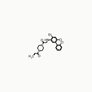 C=CC(=O)N1CCN(C(=O)CNc2cc(-c3ccccc3Cl)c(Cl)cc2CC)CC1